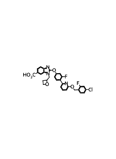 O=C(O)c1ccc2nc(Oc3ccc(-c4cccc(OCc5ccc(Cl)cc5F)n4)c(F)c3)n(CC3CCO3)c2c1